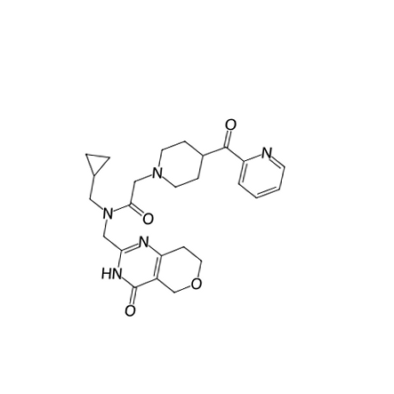 O=C(c1ccccn1)C1CCN(CC(=O)N(Cc2nc3c(c(=O)[nH]2)COCC3)CC2CC2)CC1